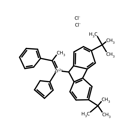 C/[C](c1ccccc1)=[Zr+2](/[C]1=CC=CC1)[CH]1c2ccc(C(C)(C)C)cc2-c2cc(C(C)(C)C)ccc21.[Cl-].[Cl-]